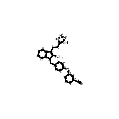 CC1=C(CCc2nnn[nH]2)c2ccccc2C1Cc1ccc(Oc2cccc(C#N)c2)cc1